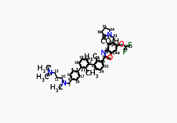 Cc1c(-c2ccc(CN(C)CCCN(C)C)cc2)cccc1-c1cccc(-c2nc3cc(CN4CCC[C@H]4C(=O)O)c(OC(F)F)cc3o2)c1C